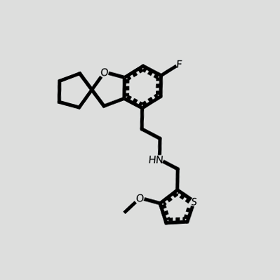 COc1ccsc1CNCCc1cc(F)cc2c1CC1(CCCC1)O2